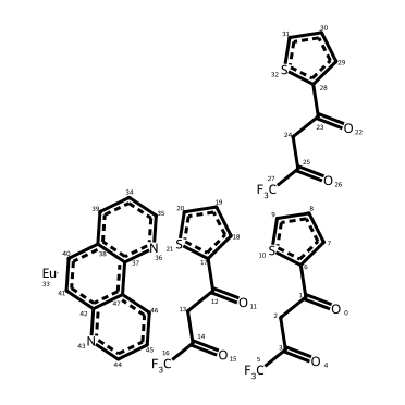 O=C(CC(=O)C(F)(F)F)c1cccs1.O=C(CC(=O)C(F)(F)F)c1cccs1.O=C(CC(=O)C(F)(F)F)c1cccs1.[Eu].c1cnc2c(c1)ccc1ncccc12